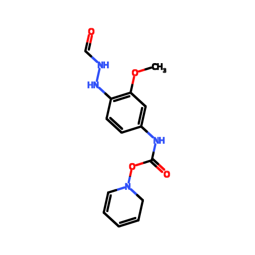 COc1cc(NC(=O)ON2C=CC=CC2)ccc1NNC=O